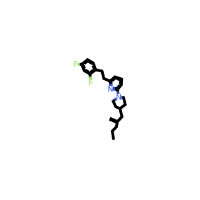 C=C(CCC)CC1CCN(c2cccc(CCc3ccc(F)cc3F)n2)CC1